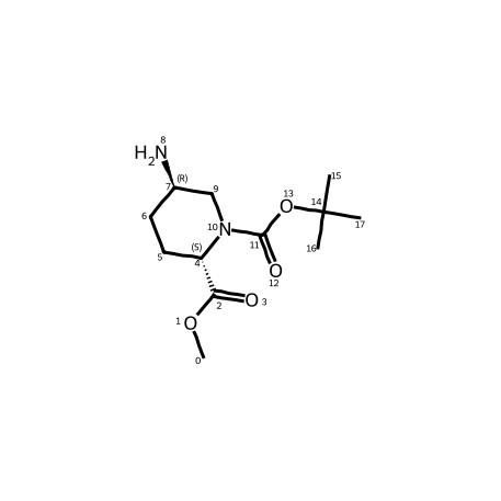 COC(=O)[C@@H]1CC[C@@H](N)CN1C(=O)OC(C)(C)C